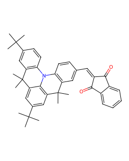 CC(C)(C)c1ccc2c(c1)C(C)(C)c1cc(C(C)(C)C)cc3c1N2c1ccc(C=C2C(=O)c4ccccc4C2=O)cc1C3(C)C